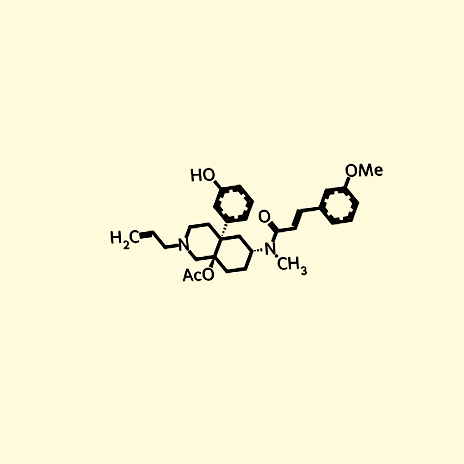 C=CCN1CC[C@@]2(c3cccc(O)c3)C[C@H](N(C)C(=O)C=Cc3cccc(OC)c3)CC[C@]2(OC(C)=O)C1